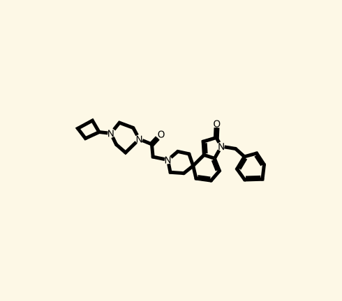 O=C(CN1CCC2(C=CC=C3C2=CC(=O)N3Cc2ccccc2)CC1)N1CCN(C2CCC2)CC1